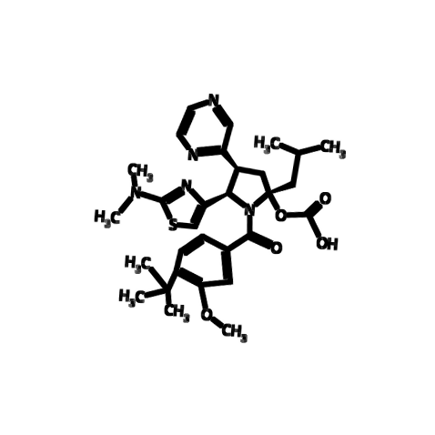 COc1cc(C(=O)N2[C@@H](c3csc(N(C)C)n3)[C@@H](c3cnccn3)C[C@]2(CC(C)C)OC(=O)O)ccc1C(C)(C)C